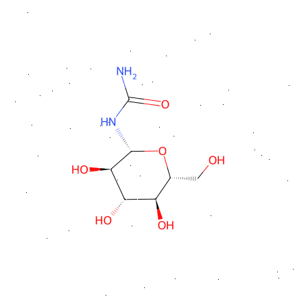 NC(=O)N[C@@H]1O[C@H](CO)[C@@H](O)[C@H](O)[C@H]1O